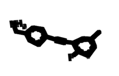 Cc1c[c]c(F)c(C#Cc2ccc(CN)cc2)c1